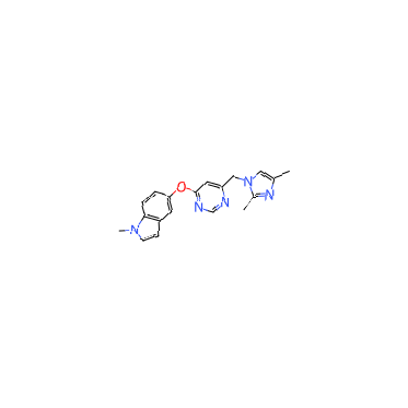 Cc1cn(Cc2cc(Oc3ccc4c(ccn4C)c3)ncn2)c(C)n1